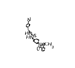 COc1ccccc1C(=O)Nc1ccc(NC(=S)NCCc2ccc(C#N)cc2)cc1